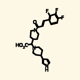 O=C(O)C(C1CCN(C(=O)C=Cc2ccc(F)c(F)c2F)CC1)N1CCC(c2cc[nH]c2)CC1